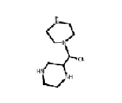 N#CC(C1CNCCN1)N1CCNCC1